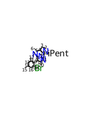 CCCC(C)n1ccc2c(C)nc3c(-c4c(C)cc(C)cc4Br)c(C)nn3c21